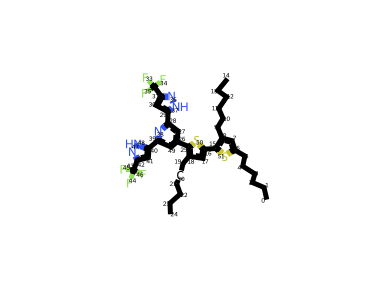 CCCCCCc1cc(CCCCCC)c(-c2cc(CCCCCC)c(-c3cc(-c4cc(C(F)(F)F)n[nH]4)nc(-c4cc(C(F)(F)F)n[nH]4)c3)s2)s1